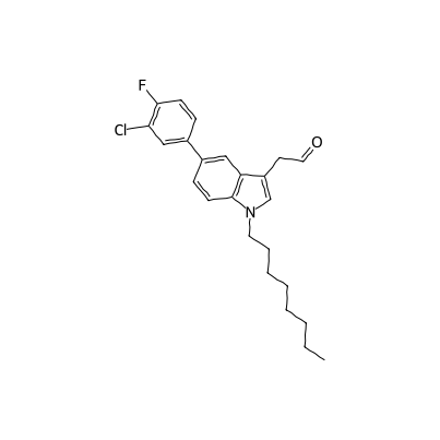 CCCCCCCCn1cc(CC=O)c2cc(-c3ccc(F)c(Cl)c3)ccc21